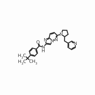 CC(C)(C)c1ccc(C(=O)Nc2cn3nc(N4CCCC4Cc4cccnc4)ccc3n2)cc1